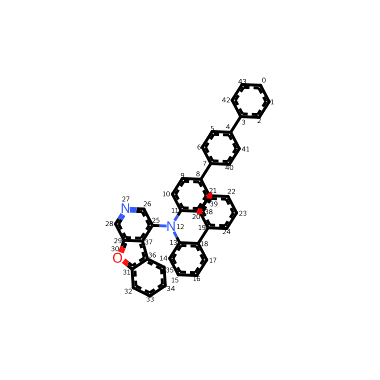 c1ccc(-c2ccc(-c3ccc(N(c4ccccc4-c4ccccc4)c4cncc5oc6ccccc6c45)cc3)cc2)cc1